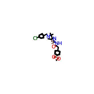 CC1(C)c2nc(NC(=O)Cc3ccc(S(C)(=O)=O)cc3)sc2CN1Cc1ccc(Cl)cc1